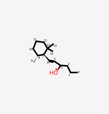 CCCC(O)C=C[C@H]1[C@H](C)CCCC1(C)C